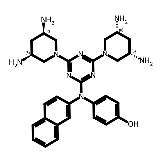 N[C@@H]1C[C@H](N)CN(c2nc(N3C[C@H](N)C[C@H](N)C3)nc(N(c3ccc(O)cc3)c3ccc4ccccc4c3)n2)C1